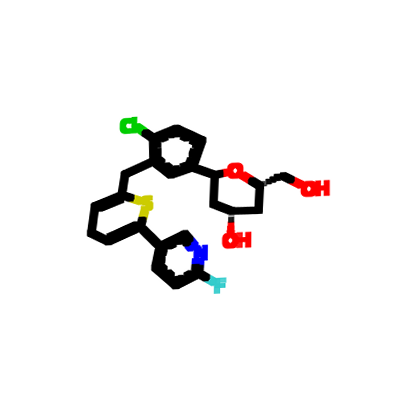 OC[C@@H]1C[C@H](O)CC(c2ccc(Cl)c(CC3=CCC=C(c4ccc(F)nc4)S3)c2)O1